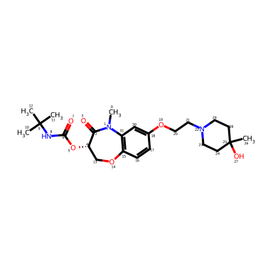 CN1C(=O)[C@@H](OC(=O)NC(C)(C)C)COc2ccc(OCCN3CCC(C)(O)CC3)cc21